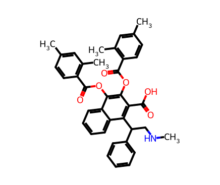 CNCC(c1ccccc1)c1c(C(=O)O)c(OC(=O)c2ccc(C)cc2C)c(OC(=O)c2ccc(C)cc2C)c2ccccc12